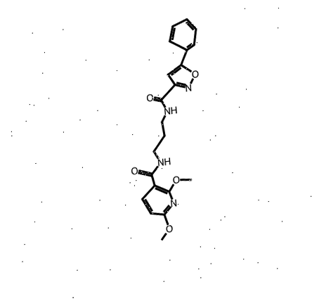 COc1ccc(C(=O)NCCCNC(=O)c2cc(-c3ccccc3)on2)c(OC)n1